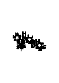 O=C(Nc1ccc(Nc2nc(C(F)(F)F)nc3c2CCCC3)cc1)c1ccc(F)cc1